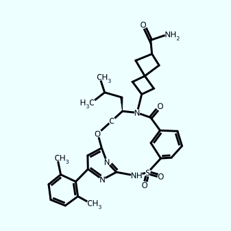 Cc1cccc(C)c1-c1cc2nc(n1)NS(=O)(=O)c1cccc(c1)C(=O)N(C1CC3(CC(C(N)=O)C3)C1)[C@H](CC(C)C)CO2